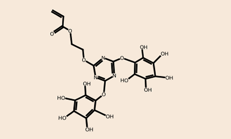 C=CC(=O)OCCOc1nc(Oc2c(O)c(O)c(O)c(O)c2O)nc(Oc2c(O)c(O)c(O)c(O)c2O)n1